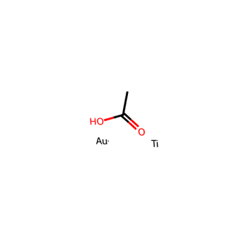 CC(=O)O.[Au].[Ti]